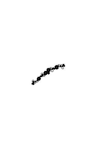 C=C(C)C(=O)OCOc1ccc(C=CC(=O)Oc2ccc3c(c2)C(C)(C)c2cc(OC(=O)C=Cc4ccc(OCOC(=O)C(=C)C)cc4)ccc2-3)cc1